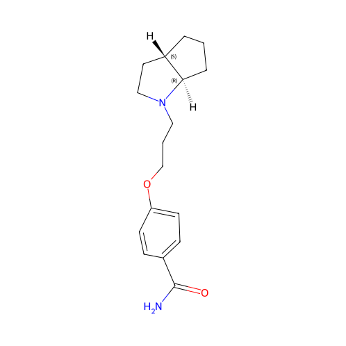 NC(=O)c1ccc(OCCCN2CC[C@@H]3CCC[C@H]32)cc1